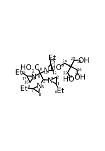 CCC1CN1C(N1CC1CC)C(C(=O)O)(N1CC1CC)N1CC1CC.OCC(CO)(CO)CO